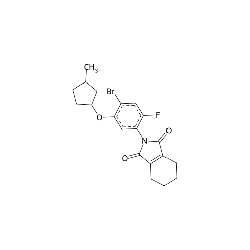 CC1CCC(Oc2cc(N3C(=O)C4=C(CCCC4)C3=O)c(F)cc2Br)C1